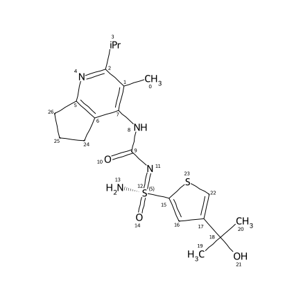 Cc1c(C(C)C)nc2c(c1NC(=O)N=[S@](N)(=O)c1cc(C(C)(C)O)cs1)CCC2